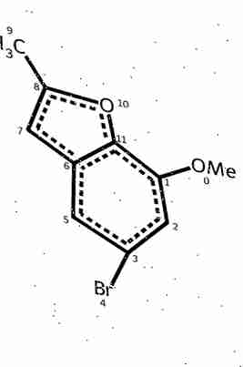 COc1cc(Br)cc2cc(C)oc12